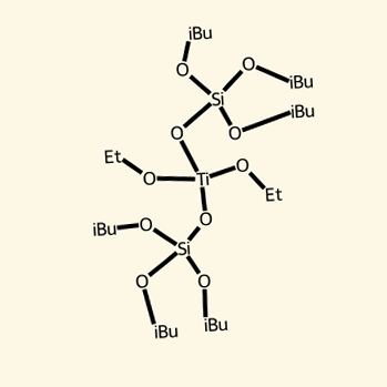 CC[O][Ti]([O]CC)([O][Si](OC(C)CC)(OC(C)CC)OC(C)CC)[O][Si](OC(C)CC)(OC(C)CC)OC(C)CC